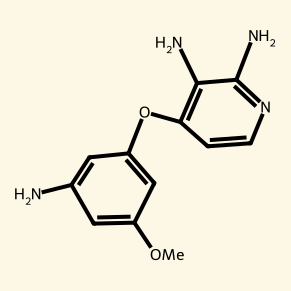 COc1cc(N)cc(Oc2ccnc(N)c2N)c1